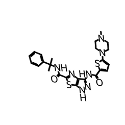 CN1CCN(c2ccc(C(=O)Nc3n[nH]c4sc(C(=O)NC(C)(C)c5ccccc5)nc34)s2)CC1